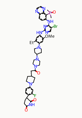 CCc1cc(Nc2ncc(Br)c(Nc3ccc4nccnc4c3P(C)(C)=O)n2)c(OC)cc1N1CCC(N2CCN(C(=O)CC3CCN(c4ccc(C5CCC(=O)NC5=O)c(F)c4)CC3)CC2)CC1